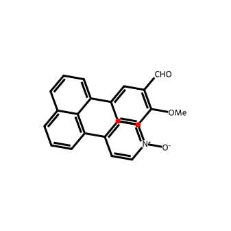 COc1ccc(-c2cccc3cccc(-c4cc[n+]([O-])cc4)c23)cc1C=O